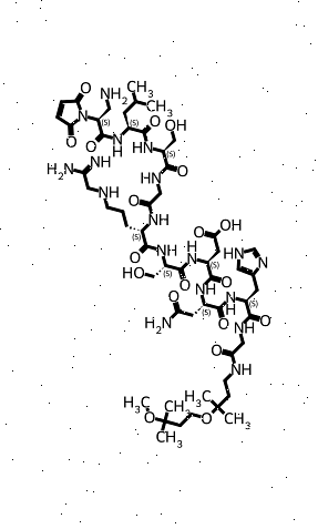 COC(C)(C)CCOC(C)(C)CCNC(=O)CNC(=O)[C@H](Cc1c[nH]cn1)NC(=O)[C@H](CC(N)=O)NC(=O)[C@H](CC(=O)O)NC(=O)[C@H](CO)NC(=O)[C@H](CCCNCC(=N)N)NC(=O)CNC(=O)[C@H](CO)NC(=O)[C@H](CC(C)C)NC(=O)[C@H](CN)N1C(=O)C=CC1=O